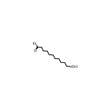 CCCCCCCCCCCCCCCCC[CH]C(=O)CC